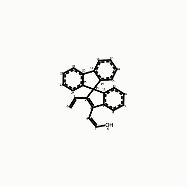 C=CC1=C(/C=C\O)c2ccccc2C12c1ccccc1-c1ccccc12